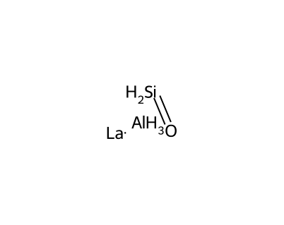 O=[SiH2].[AlH3].[La]